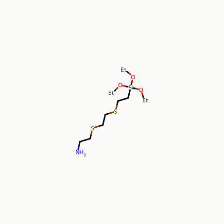 CCO[Si](CCSCCSCCN)(OCC)OCC